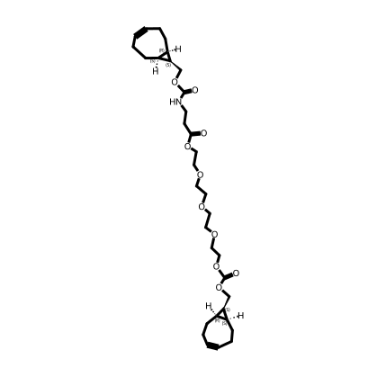 O=C(CCNC(=O)OC[C@@H]1[C@@H]2CCC#CCC[C@@H]21)OCCOCCOCCOCCOC(=O)OC[C@@H]1[C@@H]2CCC#CCC[C@@H]21